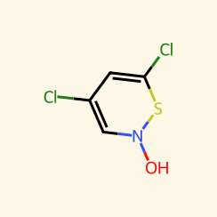 ON1C=C(Cl)C=C(Cl)S1